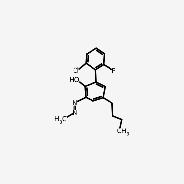 CCCCc1cc(/N=N/C)c(O)c(-c2c(F)cccc2Cl)c1